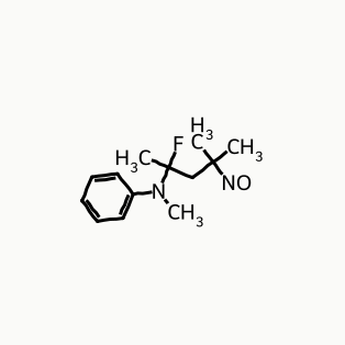 CN(c1ccccc1)C(C)(F)CC(C)(C)N=O